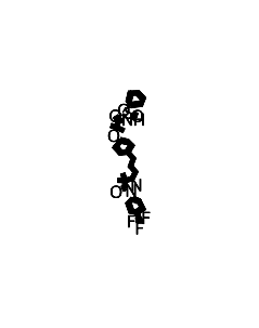 CC(C)(Oc1ccc(CCCC2=NN(c3ccc(C(F)(F)F)cc3)C(=O)C2(C)C)cc1)C(=O)NS(=O)(=O)c1ccccc1